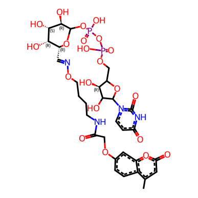 Cc1cc(=O)oc2cc(OCC(=O)NCCCCON=C[C@H]3OC(OP(=O)(O)OP(=O)(O)OCC4OC(n5ccc(=O)[nH]c5=O)C(O)[C@H]4O)[C@H](O)[C@@H](O)[C@H]3O)ccc12